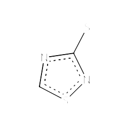 [S]c1n[c]sn1